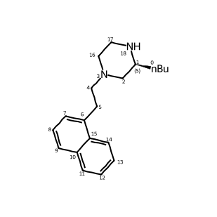 CCCC[C@H]1CN(CCc2cccc3ccccc23)CCN1